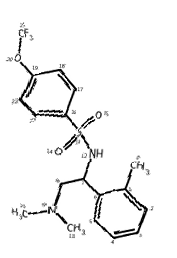 Cc1ccccc1C(CN(C)C)NS(=O)(=O)c1ccc(OC(F)(F)F)cc1